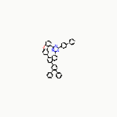 c1ccc(-c2ccc(-c3nc(-c4ccccc4)nc(-c4cccc5oc6ccc(-c7ccc(-c8ccc(-c9ccccc9)c(-c9ccccc9)c8)cc7)cc6c45)n3)cc2)cc1